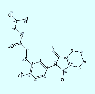 O=C(CSc1cc(N2C(=O)C3=C(CCCC3)C2=O)ccc1Cl)OCC(Cl)Cl